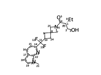 CC[C@H](CO)C(=O)N1CC2(CC(C(F)(F)c3ccc4ccn(C)c4n3)C2)C1